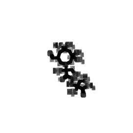 CCC(C)(NBC(=O)C(C)(CC)N1CC(C=O)CC(C)(C)CC(C)(C)C1)C(C)=O